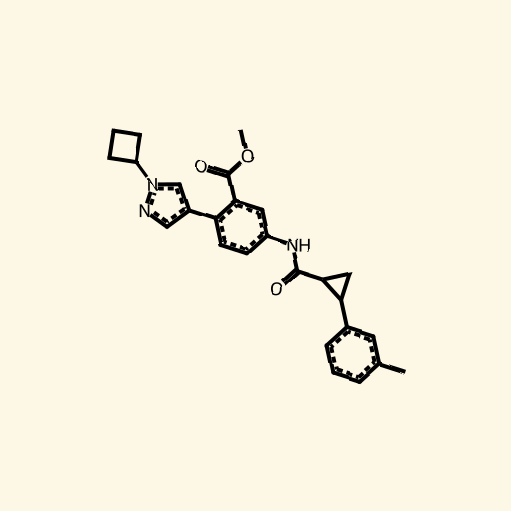 COC(=O)c1cc(NC(=O)C2CC2c2cccc(C)c2)ccc1-c1cnn(C2CCC2)c1